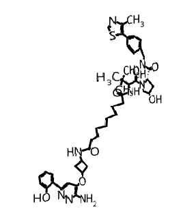 Cc1ncsc1-c1ccc(CNC(=O)[C@@H]2C[C@@H](O)CN2C(=O)[C@@H](NC(=O)CCCCCCCCC(=O)NC2CC(Oc3cc(-c4ccccc4O)nnc3N)C2)C(C)(C)C)cc1